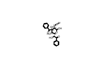 [N-]=[N+]=N[C@H]1C(O)O[C@H](C(O)C(=O)c2ccccc2)[C@@H](O)[C@@]1(O)C(=O)c1ccccc1